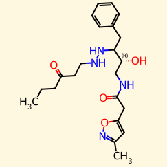 CCCC(=O)CCNNC(Cc1ccccc1)[C@H](O)CNC(=O)Cc1cc(C)no1